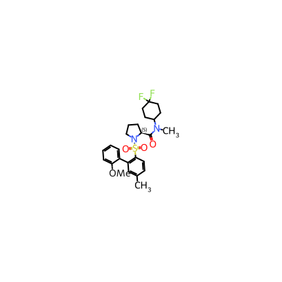 COc1ccccc1-c1cc(C)ccc1S(=O)(=O)N1CCC[C@H]1C(=O)N(C)C1CCC(F)(F)CC1